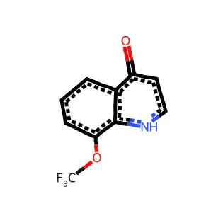 O=c1cc[nH]c2c(OC(F)(F)F)cccc12